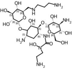 NCCCNC[C@H]1O[C@H](OC2[C@@H](N)C[C@@H](NC(=O)N(O)CCN)[C@H](O[C@H]3O[C@H](CO)[C@@H](O)[C@H](N)[C@H]3O)[C@H]2O)[C@H](O)[C@@H](O)[C@@H]1O